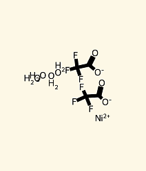 O.O.O.O.O=C([O-])C(F)(F)F.O=C([O-])C(F)(F)F.[Ni+2]